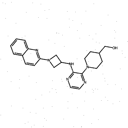 OCC1CCN(c2nccnc2NC2CN(c3ccc4ccccc4n3)C2)CC1